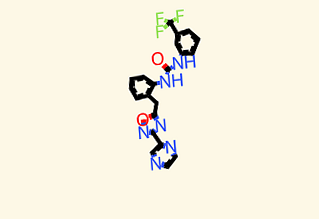 O=C(Nc1cccc(C(F)(F)F)c1)Nc1ccccc1Cc1nc(-c2cnccn2)no1